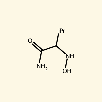 CC(C)C(NO)C(N)=O